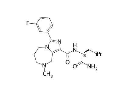 CC(C)C[C@H](NC(=O)c1nc(-c2cccc(F)c2)n2c1CN(C)CCC2)C(N)=O